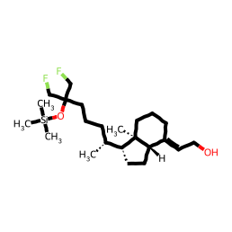 C[C@H](CCCC(CF)(CF)O[Si](C)(C)C)[C@H]1CC[C@H]2C(=CCO)CCC[C@]12C